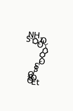 CCOP(C)(=O)OCCSSCCOc1ccc2cc(C(C)C(=O)Oc3ccc(C(N)=S)cc3)ccc2c1